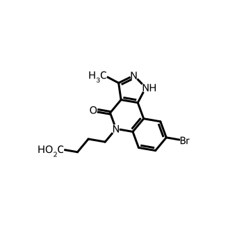 Cc1n[nH]c2c1c(=O)n(CCCC(=O)O)c1ccc(Br)cc21